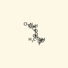 CC1CC(NS(=O)(=O)CF)CN1C(=O)OCO[C@@H]1CC[C@]2(c3ncc(Cl)cn3)C[C@@H]2C1